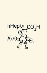 CCCCCCCC(CC(=O)O)OC1OC(CC)[C@@H](C)[C@H](C)C1OC(C)=O